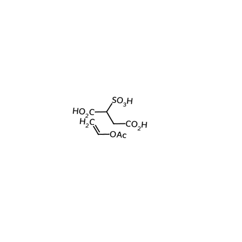 C=COC(C)=O.O=C(O)CC(C(=O)O)S(=O)(=O)O